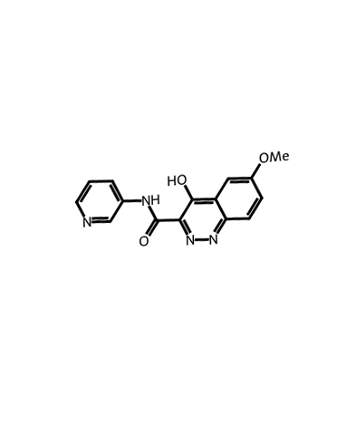 COc1ccc2nnc(C(=O)Nc3cccnc3)c(O)c2c1